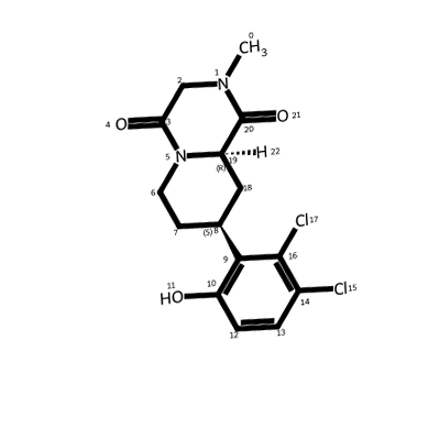 CN1CC(=O)N2CC[C@H](c3c(O)ccc(Cl)c3Cl)C[C@@H]2C1=O